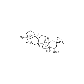 CO[C@@H]1CC(C)(C)C[C@@H]2C3=CC[C@@H]4[C@@]5(C)CCCC(C)(C)C5CC[C@@]4(C)[C@]3(C)CC[C@]21C